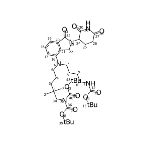 CC(C)(CCCN(CCCCNC(=O)OC(C)(C)C)c1cccc2c1CN(C1CCC(=O)NC1=O)C2=O)CN(C(=O)OC(C)(C)C)C(=O)OC(C)(C)C